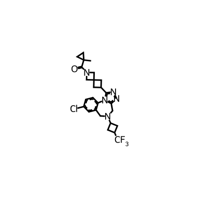 CC1(C(=O)N2CC3(CC(c4nnc5n4-c4ccc(Cl)cc4CN(C4CC(C(F)(F)F)C4)C5)C3)C2)CC1